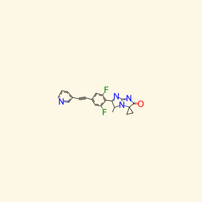 CC1C(c2c(F)cc(C#Cc3cccnc3)cc2F)=NC2=NC(=O)C3(CC3)N21